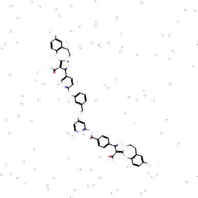 CC(C)(C)c1ccc2c(c1)CCn1nc(-c3ccc(C(=O)Nc4cc(OCc5cccc(Oc6ccc(-c7nn8c(c7C(N)=O)Nc7ccc(C(C)(C)C)cc7CC8)cn6)c5)ccn4)cc3)c(C(N)=O)c1N2